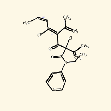 C=C(C)/C(C(=O)C(Cl)(C(=C)C)C(=O)N(CC)c1ccccc1)=C(Cl)\C=C/C